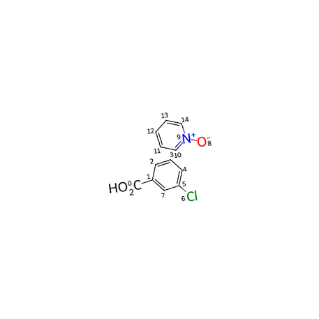 O=C(O)c1cccc(Cl)c1.[O-][n+]1ccccc1